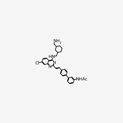 CC(=O)Nc1cccc(-c2ccc(/C=C/c3nc(NCC4CCCC(CN)C4)c4ccc(Cl)cc4n3)cc2)c1